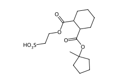 CC1(OC(=O)C2CCCCC2C(=O)OCCS(=O)(=O)O)CCCC1